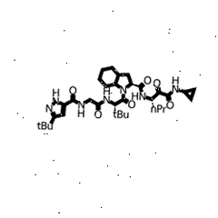 CCC[C@H](NC(=O)[C@@H]1CC2CCCCC2N1C(=O)[C@@H](NC(=O)CNC(=O)c1cc(C(C)(C)C)n[nH]1)C(C)(C)C)C(=O)C(=O)NC1CC1